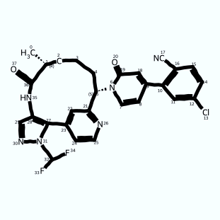 C[C@@H]1CCC[C@H](n2ccc(-c3cc(Cl)ccc3C#N)cc2=O)c2cc(ccn2)-c2c(cnn2C(F)F)NC1=O